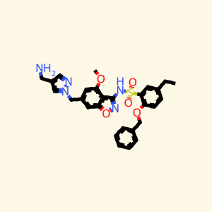 CCc1ccc(OCc2ccccc2)c(S(=O)(=O)Nc2noc3cc(Cn4cc(CN)cn4)cc(OC)c23)c1